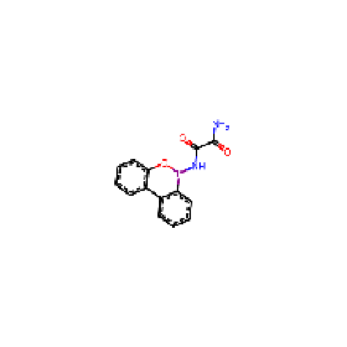 NC(=O)C(=O)NP1Oc2ccccc2-c2ccccc21